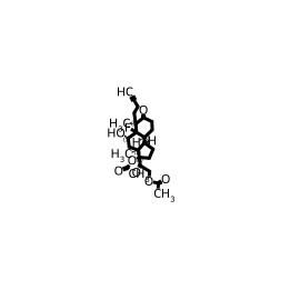 C#CCC[C@@]1(C)C(=O)CC[C@H]2[C@@H]3CC[C@](OC(C)=O)(C(=O)COC(C)=O)[C@@]3(C)C[C@H](O)C21F